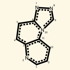 c1cnc2ccc3nncn3c2c1